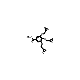 COC(=O)c1cc(OCC2CO2)c(OCC2CO2)c(OCC2CO2)c1